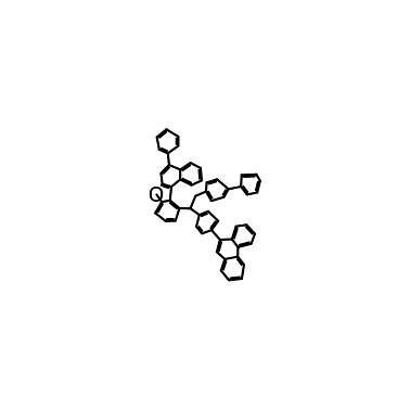 c1ccc(-c2ccc(CC(c3ccc(-c4cc5ccccc5c5ccccc45)cc3)c3cccc4oc5cc(-c6ccccc6)c6ccccc6c5c34)cc2)cc1